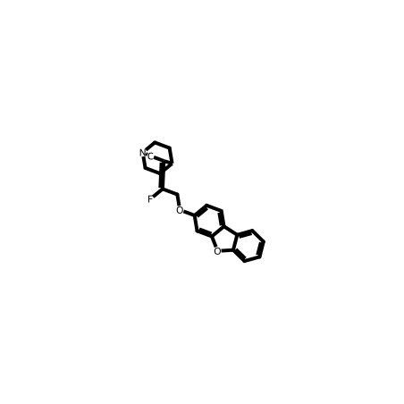 FC(COc1ccc2c(c1)oc1ccccc12)=C1CN2CCC1CC2